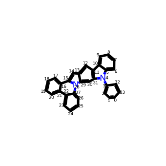 c1ccc(-n2c3ccccc3c3cc4cc5c6ccccc6c6ccccc6n5c4cc32)cc1